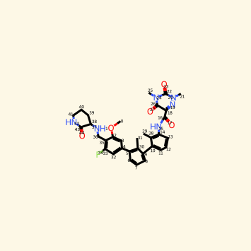 COc1cc(-c2cccc(-c3cccc(NC(=O)c4nn(C)c(=O)n(C)c4=O)c3C)c2C)cc(F)c1CNC1CCCNC1=O